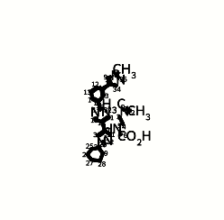 CN(C)CCNC(=O)O.Cn1cc(-c2cccc(-c3ncc(-c4cnn(C5CCCCC5)c4)cn3)c2)cn1